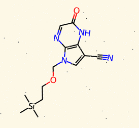 C[Si](C)(C)CCOCn1cc(C#N)c2[nH]c(=O)cnc21